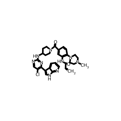 C=CC(=O)Nc1cc(C(=O)N2CCC(Nc3ncc(Cl)c(-c4c[nH]c5ncccc45)n3)CC2)ccc1N1CCN(C)CC1